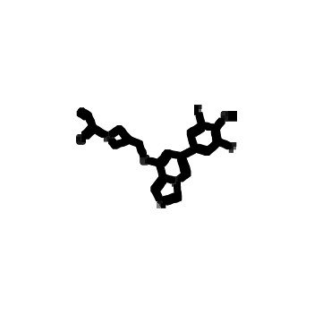 C=CC(=O)N1CC(COc2cc(-c3cc(F)c(O)c(F)c3)cn3cncc23)C1